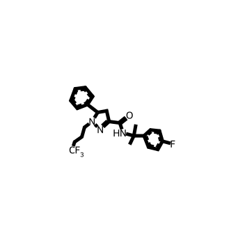 CC(C)(NC(=O)C1=NN(CCCC(F)(F)F)C(c2ccccc2)C1)c1ccc(F)cc1